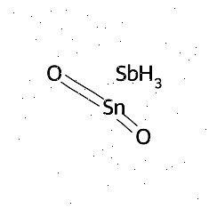 [O]=[Sn]=[O].[SbH3]